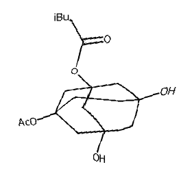 CCC(C)C(=O)OC12CC3(O)CC(O)(CC(OC(C)=O)(C3)C1)C2